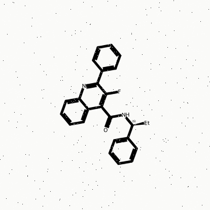 CC[C@H](NC(=O)c1c(F)c(-c2ccccc2)nc2ccccc12)c1ccccc1